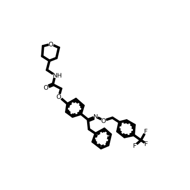 O=C(COc1ccc(C(Cc2ccccc2)=NOCc2ccc(C(F)(F)F)cc2)cc1)NCC1CCOCC1